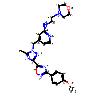 Cc1nc(-c2nc(-c3ccc(OC(F)(F)F)cc3)no2)nn1Cc1ccnc(NCCN2CCOCC2)c1